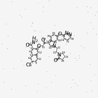 NC(=O)c1cc2cc(Cl)ccc2cc1OCC(=O)c1cn(CCN2CCCC2=O)c2cc(Oc3cccnn3)ccc12